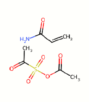 C=CC(N)=O.CC(=O)OS(=O)(=O)C(C)=O